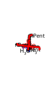 CCCCC/C=C\C/C=C\CCCCCCCC(=O)OCCCC(=O)OCC(COC(=O)CCCOC(=O)CCCCCCC/C=C\C/C=C\CCCCC)(COC(=O)CCCOC(=O)CCCCCCC/C=C\C/C=C\CCCCC)NC(=O)CCCN(C)C